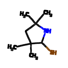 CC1(C)CC(C)(C)C(S)N1